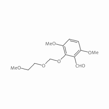 COCCOCOc1c(OC)ccc(OC)c1C=O